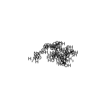 C[C@H](CC(=O)N[C@H](C(=O)N[C@@H](CS)C(=O)O)[C@@H](O)C(O)[C@H](O)CO)NC(=O)[C@@H](NC(=O)C[C@H](NC(=O)[C@@H](NC(=O)C[C@@H](C)NC(=O)[C@@H](NC(=O)CC[C@H](NC(=O)c1ccc(NCc2cnc3nc(N)[nH]c(=O)c3n2)cc1)C(=O)O)[C@@H](O)[C@H](O)[C@H](O)CO)[C@@H](O)C(O)[C@H](O)CO)C(=O)O)[C@@H](O)[C@H](O)[C@H](O)CO